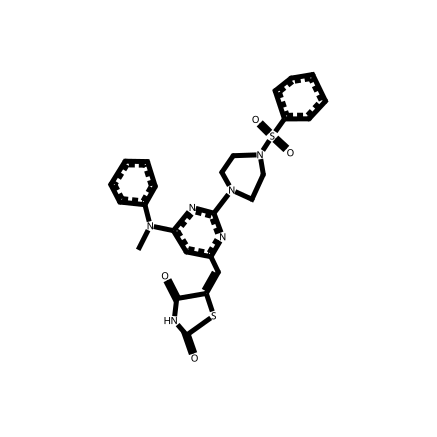 CN(c1ccccc1)c1cc(C=C2SC(=O)NC2=O)nc(N2CCN(S(=O)(=O)c3ccccc3)CC2)n1